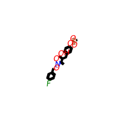 C/C(=N\OCc1ccc(F)cc1)C(Cc1ccc(OS(C)(=O)=O)cc1)C(=O)O